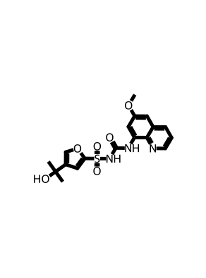 COc1cc(NC(=O)NS(=O)(=O)c2cc(C(C)(C)O)co2)c2ncccc2c1